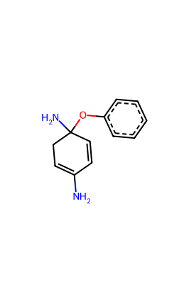 NC1=CCC(N)(Oc2ccccc2)C=C1